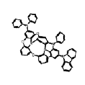 c1ccc(N(c2ccccc2)c2cc3c4c(c2)Oc2cccc5c2B4c2cc4c(cc2O3)N(c2ccccc2)c2cc(-n3c6ccccc6c6ccccc63)cc3c2B4c2c(cccc2O3)O5)cc1